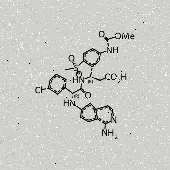 COC(=O)Nc1ccc(S(C)(=O)=O)c([C@@H](CC(=O)O)NC(=O)[C@H](Nc2ccc3c(N)nccc3c2)c2cccc(Cl)c2)c1